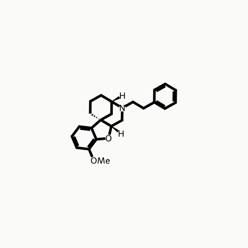 COc1cccc2c1O[C@H]1CN(CCc3ccccc3)[C@H]3CCC[C@@]21C3